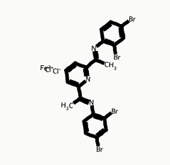 CC(=Nc1ccc(Br)cc1Br)c1cccc(C(C)=Nc2ccc(Br)cc2Br)n1.[Cl-].[Cl-].[Fe+2]